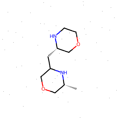 C[C@@H]1COCC(C[C@H]2COCCN2)N1